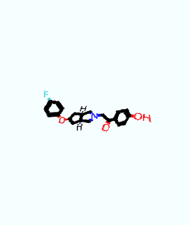 O=C(CN1C[C@H]2C[C@@H](Oc3ccc(F)cc3)C[C@H]2C1)c1ccc(O)cc1